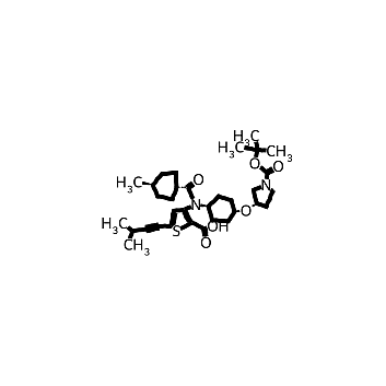 CC(C)C#Cc1cc(N(C(=O)[C@H]2CC[C@H](C)CC2)[C@H]2CC[C@H](O[C@H]3CCN(C(=O)OC(C)(C)C)C3)CC2)c(C(=O)O)s1